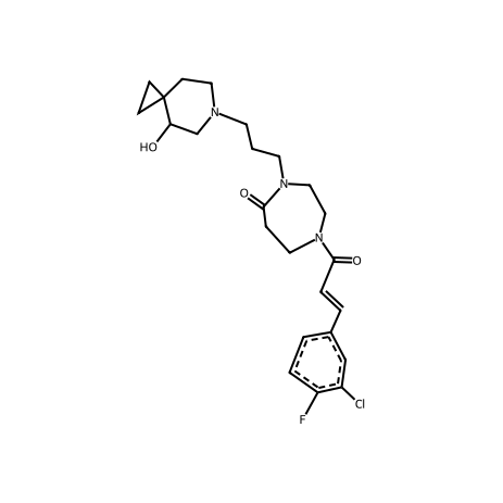 O=C(/C=C/c1ccc(F)c(Cl)c1)N1CCC(=O)N(CCCN2CCC3(CC3)C(O)C2)CC1